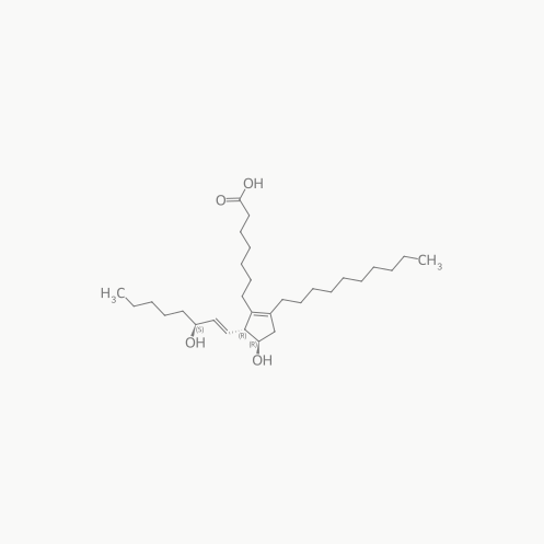 CCCCCCCCCCC1=C(CCCCCCC(=O)O)[C@@H](C=C[C@@H](O)CCCCC)[C@H](O)C1